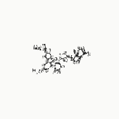 COc1ccc(C(OCC2CC[C@H](n3cnc4c(I)ncnc43)O2)(c2ccccc2)C2C=CC(C)=CC2)cc1